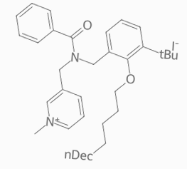 CCCCCCCCCCCCCCOc1c(CN(Cc2ccc[n+](C)c2)C(=O)c2ccccc2)cccc1C(C)(C)C.[I-]